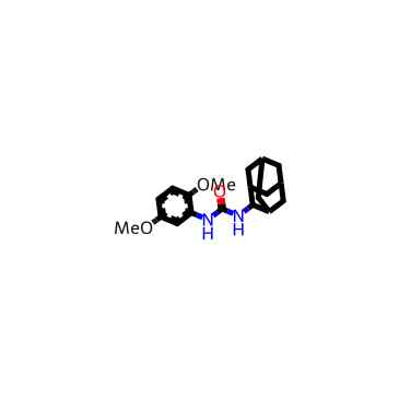 COc1ccc(OC)c(NC(=O)NC2C3CC4CC(C3)CC2C4)c1